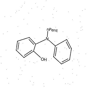 CCCCCN(c1ccccc1)c1ccccc1O